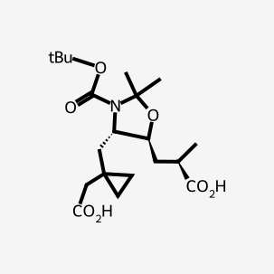 C[C@H](C[C@@H]1OC(C)(C)N(C(=O)OC(C)(C)C)[C@H]1CC1(CC(=O)O)CC1)C(=O)O